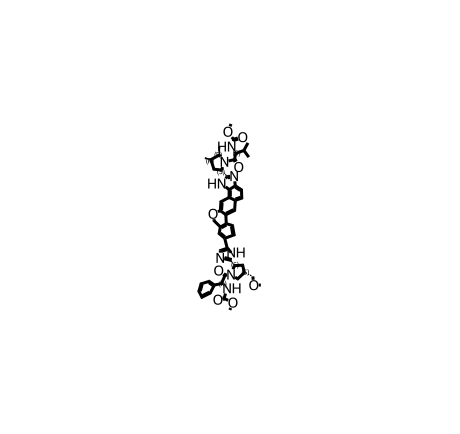 COC[C@H]1C[C@@H](c2ncc(-c3ccc4c(c3)COc3cc5c(ccc6nc([C@@H]7C[C@@H](C)[C@@H](C)N7C(=O)[C@@H](NC(=O)OC)C(C)C)[nH]c65)cc3-4)[nH]2)N(C(=O)[C@H](NC(=O)OC)c2ccccc2)C1